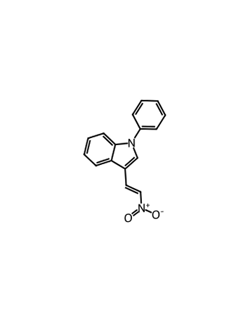 O=[N+]([O-])C=Cc1cn(-c2ccccc2)c2ccccc12